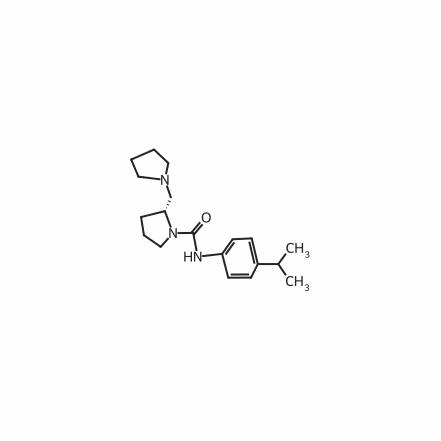 CC(C)c1ccc(NC(=O)N2CCC[C@@H]2CN2CCCC2)cc1